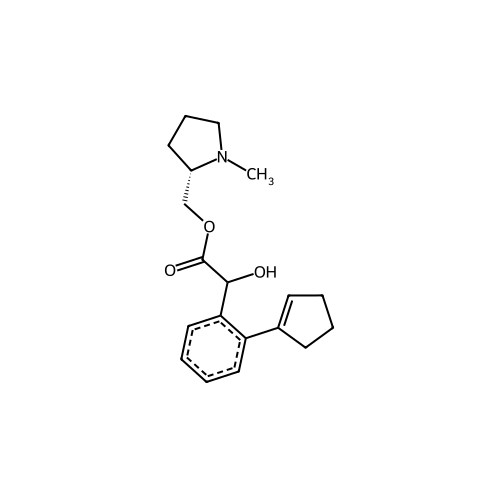 CN1CCC[C@H]1COC(=O)C(O)c1ccccc1C1=CCCC1